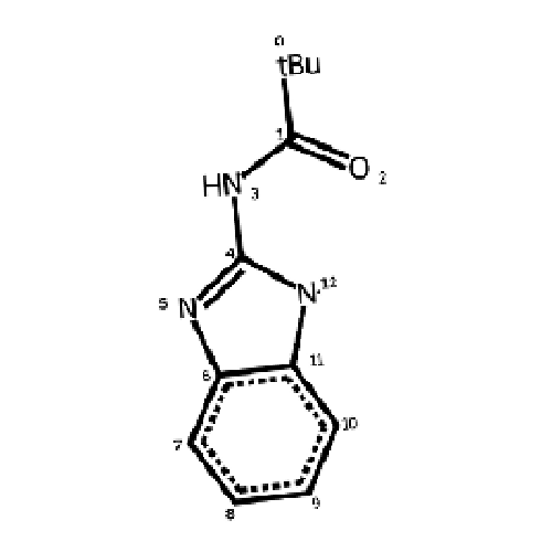 CC(C)(C)C(=O)NC1=Nc2ccccc2[N]1